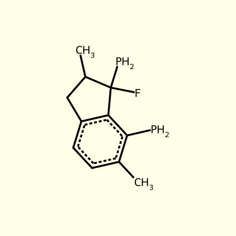 Cc1ccc2c(c1P)C(F)(P)C(C)C2